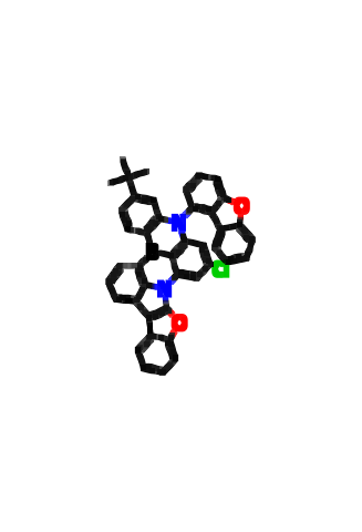 CC(C)(C)c1ccc2c(c1)N(c1cccc3oc4ccccc4c13)c1cc(Cl)cc3c1B2c1cccc2c4c5ccccc5oc4n-3c12